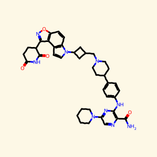 NC(=O)c1ncc(N2CCCCC2)nc1Nc1ccc(C2CCN(CC3CC(n4ccc5c6c(C7CCC(=O)NC7=O)noc6ccc54)C3)CC2)cc1